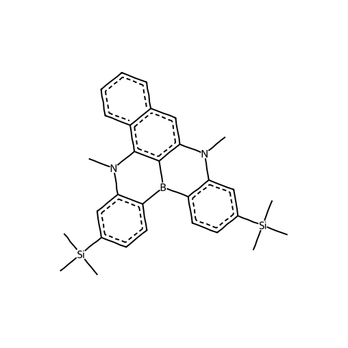 CN1c2cc([Si](C)(C)C)ccc2B2c3ccc([Si](C)(C)C)cc3N(C)c3c2c1cc1ccccc31